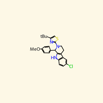 COc1ccc(C2c3[nH]c4ccc(Cl)cc4c3CCN2c2nc(C(C)(C)C)cs2)cc1